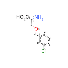 NC(COCc1cccc(Cl)c1)C(=O)O